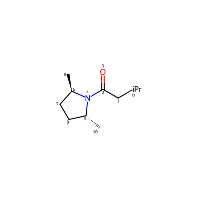 CC(C)CC(=O)N1[C@H](C)CC[C@H]1C